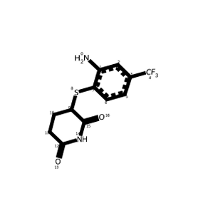 Nc1cc(C(F)(F)F)ccc1SC1CCC(=O)NC1=O